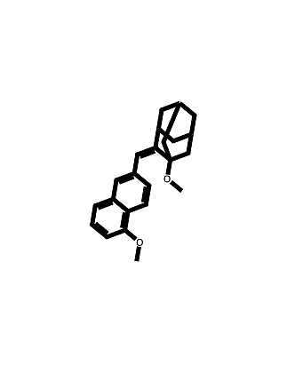 COc1cccc2cc(C=C3C4CC5CC(C4)CC3(OC)C5)ccc12